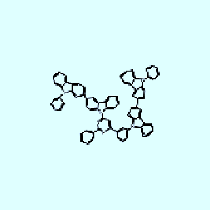 c1ccc(-c2nc(-c3cccc(-n4c5ccccc5c5cc(-c6ccc7c(c6)c6ccccc6n7-c6ccccc6)ccc54)c3)cc(-n3c4ccccc4c4cc(-c5ccc6c7ccccc7n(-c7ccccc7)c6c5)ccc43)n2)cc1